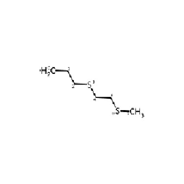 [CH2]CCSCCSC